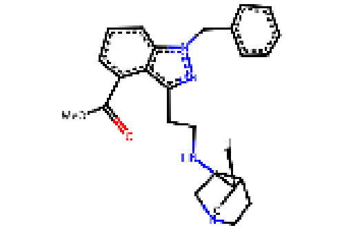 COC(=O)c1cccc2c1c(CCN[C@H]1CN3CCC1CC3)nn2Cc1ccccc1